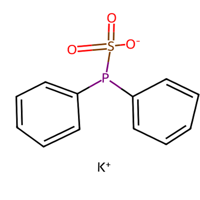 O=S(=O)([O-])P(c1ccccc1)c1ccccc1.[K+]